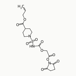 C=CCOC(=O)C1CCN(S(=O)(=O)NC(=O)OCC(=O)ON2C(=O)CCC2=O)CC1